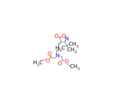 CCOC(=O)CN(/C=C/C=C1/C(=O)ON=C1C(C)(C)C)CC(=O)OCC